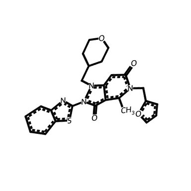 Cc1c2c(=O)n(-c3nc4ccccc4s3)n(CC3CCOCC3)c2cc(=O)n1Cc1ccco1